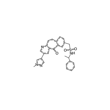 CC(NS(=O)(=O)Cc1ccc2ccc3ncc(-c4cnn(C)c4)cc3c(=O)c2c1)c1ccccc1